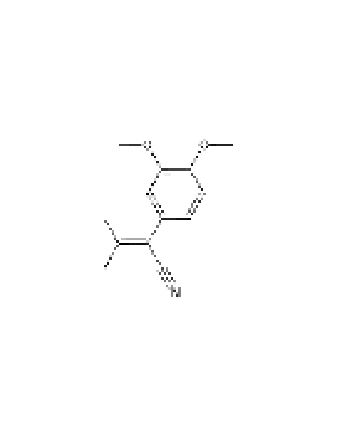 COc1ccc(C(C#N)=C(C)C)cc1OC